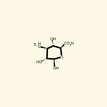 O=C(O)[C@H]1O[C@@H](O)[C@H](O)[C@@H](O)[C@@H]1O.[Ti]